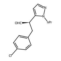 CCCn1nccc1[C@H](C=O)Cc1ccc(Cl)cc1